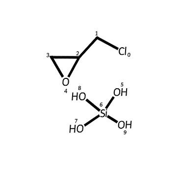 ClCC1CO1.O[Si](O)(O)O